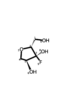 OC[C@H]1O[CH][C@H](O)[C@]1(O)F